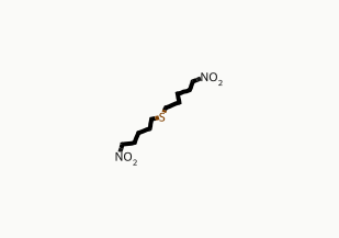 O=[N+]([O-])CCCCCSCCCCC[N+](=O)[O-]